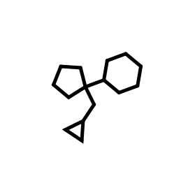 C1CCC(C2(CC3CC3)CCCC2)CC1